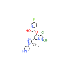 Cc1c(-c2cc(OC(CO)c3ccc(F)cn3)c3c(Cl)cnn3c2)nnn1C1CCNCC1.Cl